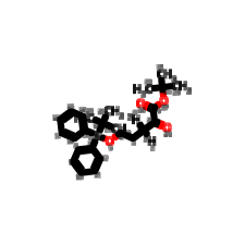 [2H]C([2H])(CCO[Si](c1ccccc1)(c1ccccc1)C(C)(C)C)C(=O)C(=O)OC(C)(C)C